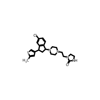 Cc1cc(C2CC(N3CCN(CCN4CCNC4=O)CC3)c3ccc(Cl)cc32)cs1